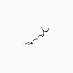 C=CC(=O)OCC=CN=C=O